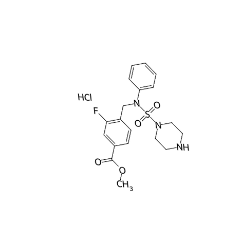 COC(=O)c1ccc(CN(c2ccccc2)S(=O)(=O)N2CCNCC2)c(F)c1.Cl